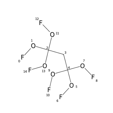 FOC(CC(OF)(OF)OF)(OF)OF